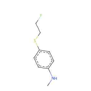 CNc1ccc(SCCF)cc1